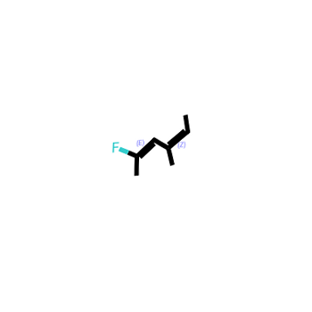 C/C=C(C)\C=C(/C)F